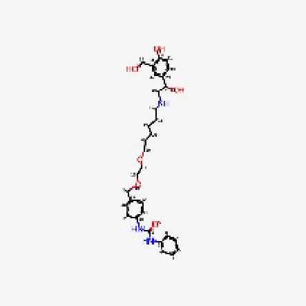 O=C(Nc1ccccc1)Nc1ccc(COCCOCCCCCCNC[C@H](O)c2ccc(O)c(CO)c2)cc1